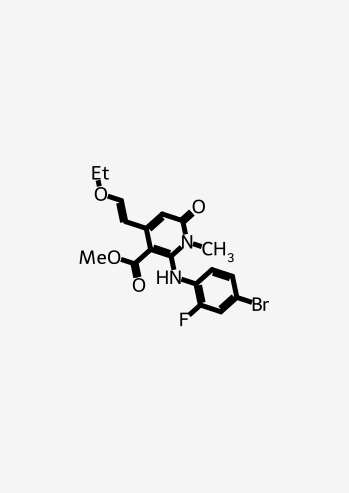 CCOC=Cc1cc(=O)n(C)c(Nc2ccc(Br)cc2F)c1C(=O)OC